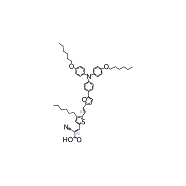 CCCCCCOc1ccc(N(c2ccc(OCCCCCC)cc2)c2ccc(-c3ccc(/C=C/c4sc(/C=C(\C#N)C(=O)O)cc4CCCCCC)o3)cc2)cc1